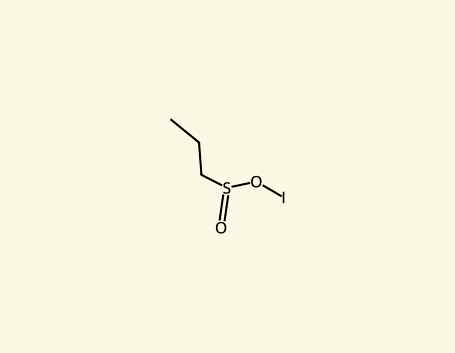 CCCS(=O)OI